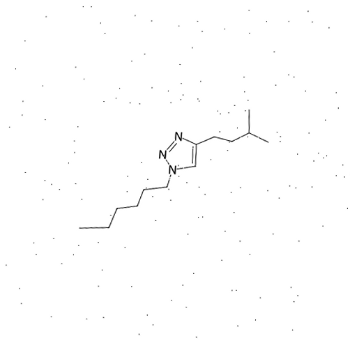 CCCCCCn1cc(CCC(C)C)nn1